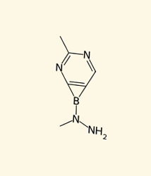 Cc1ncc2c(n1)B2N(C)N